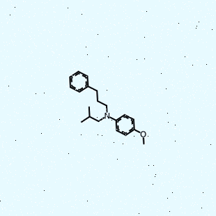 COc1ccc(N(CCCc2ccccc2)CC(C)C)cc1